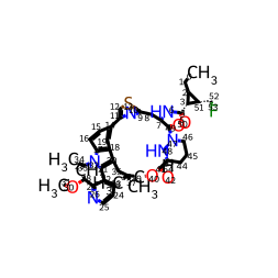 CCC1[C@@H](C(=O)NC2Cc3nc(cs3)-c3ccc4c(c3)c(c(-c3cccnc3C(C)OC)n4CC)CC(C)(C)COC(=O)[C@@H]3CCCN(N3)C2=O)[C@H]1CF